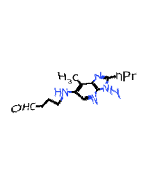 CCCc1nc2c(C)c(NCCCC=O)cnc2[nH]1